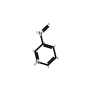 C=[N+]c1cccnc1